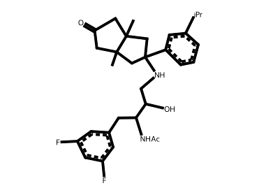 CC(=O)NC(Cc1cc(F)cc(F)c1)C(O)CNC1(c2cccc(C(C)C)c2)CC2(C)CC(=O)CC2(C)C1